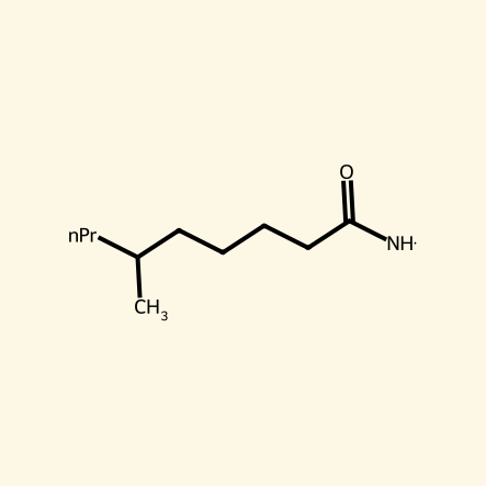 CCCC(C)CCCCC([NH])=O